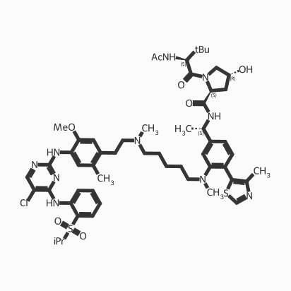 COc1cc(CCN(C)CCCCCN(C)c2cc([C@H](C)NC(=O)[C@@H]3C[C@@H](O)CN3C(=O)[C@@H](NC(C)=O)C(C)(C)C)ccc2-c2scnc2C)c(C)cc1Nc1ncc(Cl)c(Nc2ccccc2S(=O)(=O)C(C)C)n1